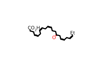 CC/C=C\C/C=C\CC(=O)CC/C=C\C/C=C\C/C=C\CCC(=O)O